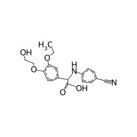 CCOc1cc(C(Nc2ccc(C#N)cc2)C(=O)O)ccc1OCCO